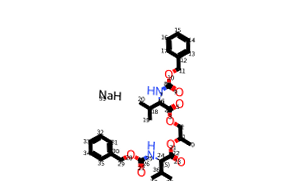 [CH2]C(COC(=O)[C@@H](NC(=O)OCc1ccccc1)C(C)C)OC(=O)[C@@H](NC(=O)OCc1ccccc1)C(C)C.[NaH]